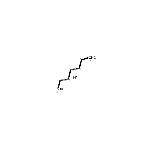 CCCCCCCCCC=O.Cl